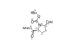 COC(=O)[C@@H]1CCC(OC(C)=O)N1C(=O)OC(C)(C)C